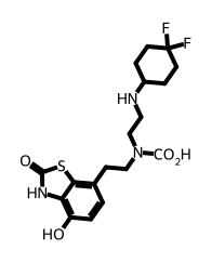 O=C(O)N(CCNC1CCC(F)(F)CC1)CCc1ccc(O)c2[nH]c(=O)sc12